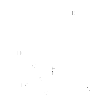 CS(=O)(=O)N[C@H]1CCN[C@H]1Cc1cccc(Br)c1F.Cl